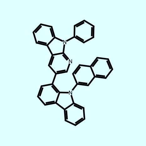 c1ccc(-n2c3ccccc3c3cc(-c4cccc5c6ccccc6n(-c6ccc7ccccc7c6)c45)cnc32)cc1